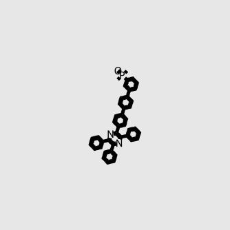 CP(C)(=O)c1cccc(-c2ccc(-c3ccc(-c4nc(-c5ccccc5)c(-c5ccccc5)nc4-c4ccccc4)cc3)cc2)c1